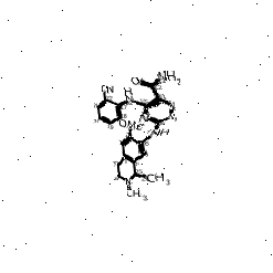 COc1cc2c(cc1Nc1nnc(C(N)=O)c(Nc3ccccc3C#N)n1)C(C)N(C)CC2